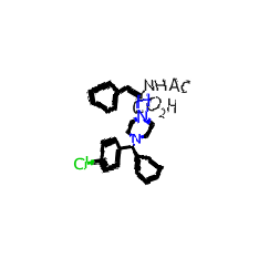 CC(=O)N[C@@H](Cc1ccccc1)C(=O)O.Clc1ccc([C@@H](c2ccccc2)N2CCNCC2)cc1